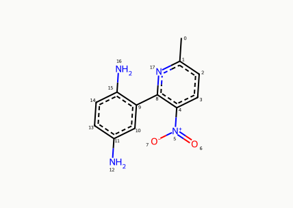 Cc1ccc([N+](=O)[O-])c(-c2cc(N)ccc2N)n1